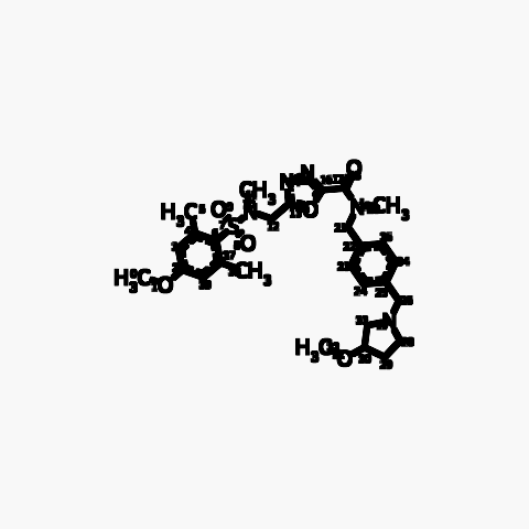 COc1cc(C)c(S(=O)(=O)N(C)Cc2nnc(C(=O)N(C)Cc3ccc(CN4CCC(OC)C4)cc3)o2)c(C)c1